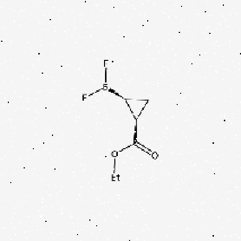 CCOC(=O)[C@@H]1C[C@@H]1B(F)F